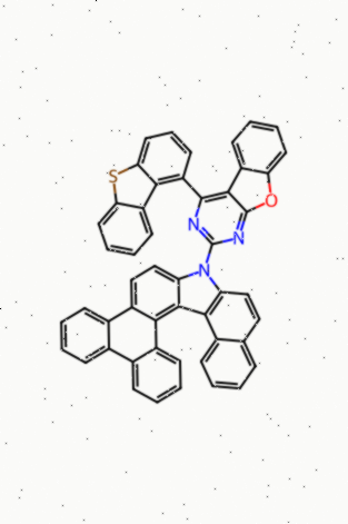 c1ccc2c(c1)ccc1c2c2c3c4ccccc4c4ccccc4c3ccc2n1-c1nc(-c2cccc3sc4ccccc4c23)c2c(n1)oc1ccccc12